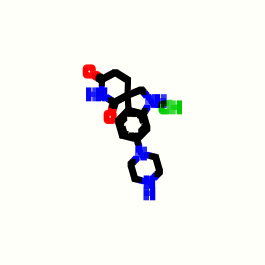 Cl.O=C1CCC2(CNc3cc(N4CCNCC4)ccc32)C(=O)N1